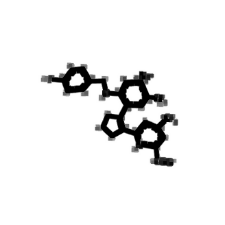 O=C([O-])c1cc(C(F)(F)F)cc(C2=C(c3cc(C(F)(F)F)ccc3OCc3ccc(F)cc3)CCC2)n1.[Na+]